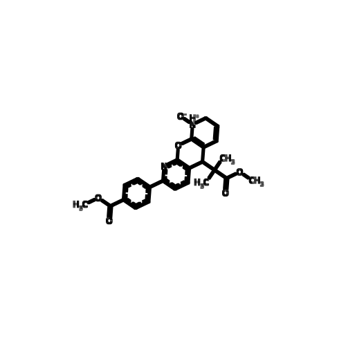 COC(=O)c1ccc(-c2ccc3c(n2)OC2=C(C=CC[NH+]2[O-])C3C(C)(C)C(=O)OC)cc1